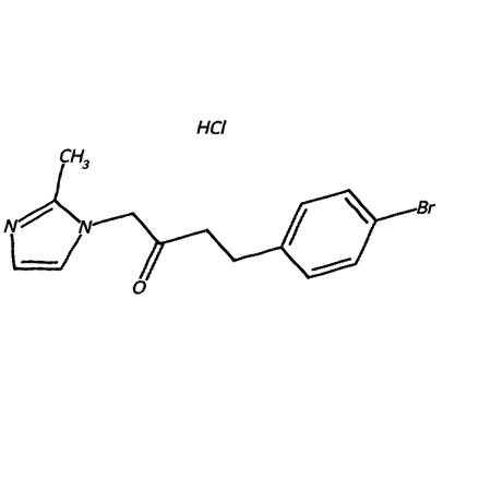 Cc1nccn1CC(=O)CCc1ccc(Br)cc1.Cl